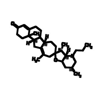 CCCN1C[C@@H](C)CC2OC3(CC[C@@H]4C(=C(C)C3)C[C@H]3C4CCC4=CC(=O)CCC43C)[C@H](C)[C@@H]21